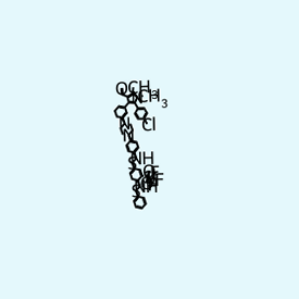 Cc1c(C=O)c(C2=CCCC(N3CCN(c4ccc(NSC5=CCC(NSc6ccccc6)C(S(=O)(=O)C(F)(F)F)=C5)cc4)CC3)=C2)c(-c2ccc(Cl)cc2)n1C